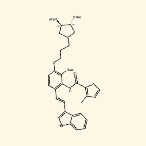 CN[C@@H]1CN(CCCOc2ccc(/C=C/c3n[nH]c4ccccc34)c(NC(=O)c3sccc3C)c2OC)C[C@H]1OC